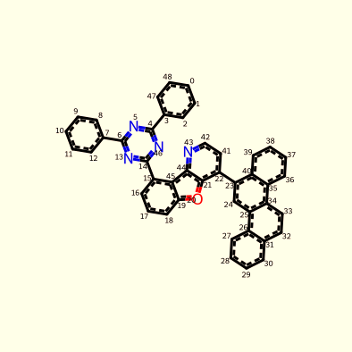 c1ccc(-c2nc(-c3ccccc3)nc(-c3cccc4oc5c(-c6cc7c8ccccc8ccc7c7ccccc67)ccnc5c34)n2)cc1